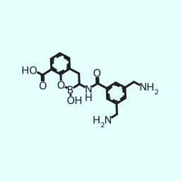 NCc1cc(CN)cc(C(=O)NC2Cc3cccc(C(=O)O)c3OB2O)c1